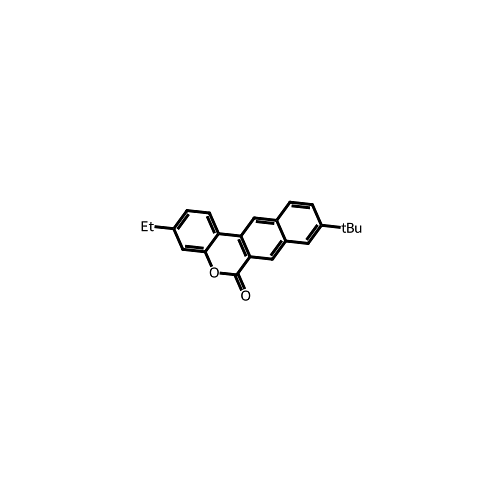 CCc1ccc2c(c1)oc(=O)c1cc3cc(C(C)(C)C)ccc3cc12